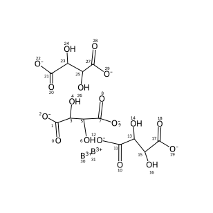 O=C([O-])C(O)C(O)C(=O)[O-].O=C([O-])C(O)C(O)C(=O)[O-].O=C([O-])C(O)C(O)C(=O)[O-].[B+3].[B+3]